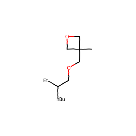 CCCCC(CC)COCC1(C)COC1